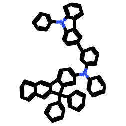 c1ccc(N(c2cccc(-c3ccc4c(c3)c3ccccc3n4-c3ccccc3)c2)c2ccc3c(c2)C(c2ccccc2)(c2ccccc2)c2cc4ccccc4cc2-3)cc1